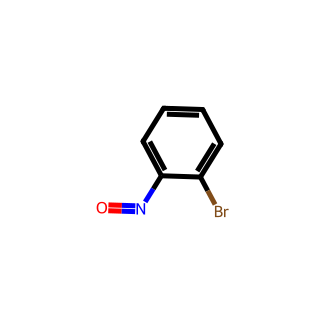 O=Nc1ccccc1Br